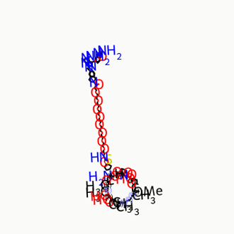 CO[C@H]1CC2CCC[C@@](O)(O2)C(=O)C(=O)N2CCCC[C@H]2C(=O)OC([C@H](N)C[C@H]2CC[C@H](OC(=S)NCCOCCOCCOCCOCCOCCOCCOCCOCCC(=O)N3CCc4cc(Cn5nc(-c6ccc7oc(N)nc7c6)c6c(N)ncnc65)ccc4C3)CC2)CC(=O)[C@H](C)/C=C(\C)C(O)[C@@H](O)C(=O)[C@H](C)C[C@H](C)/C=C/C=C/C=C/1C